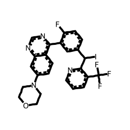 Fc1ccc(C(I)c2ncccc2C(F)(F)F)cc1-c1ncnc2cc(N3CCOCC3)ccc12